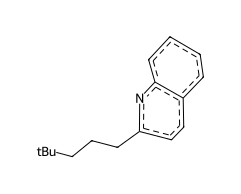 CC(C)(C)CCCc1ccc2ccccc2n1